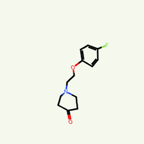 O=C1CCN(CCOc2ccc(F)cc2)CC1